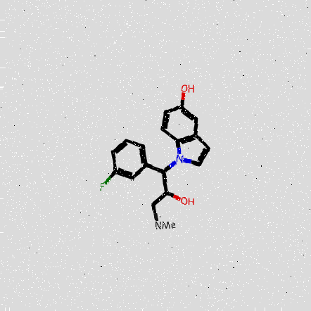 CNCC(O)C(c1cccc(F)c1)n1ccc2cc(O)ccc21